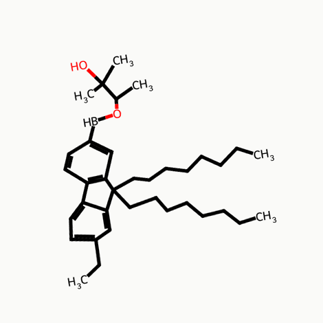 CCCCCCCCC1(CCCCCCCC)c2cc(BOC(C)C(C)(C)O)ccc2-c2ccc(CC)cc21